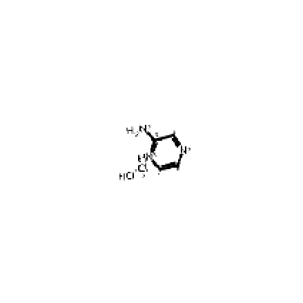 Cl.Cl.Nc1cnccn1